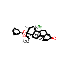 CC(=O)OCC(=O)[C@]1(OC(=O)c2ccccc2)[C@H](C)C[C@H]2[C@H]3C(=CC[C@@]21C)[C@@]1(C)C=CC(=O)C=C1C[C@H]3Br